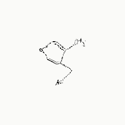 [CH2]c1cocc1CC(C)=O